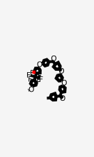 COc1ccc(C(c2ccc(Oc3ccc(C(=O)c4ccc(Oc5cccc(Oc6ccc(C(=O)c7ccc(C)cc7)cc6)c5)cc4)cc3)cc2)(C(F)(F)F)C(F)(F)F)cc1